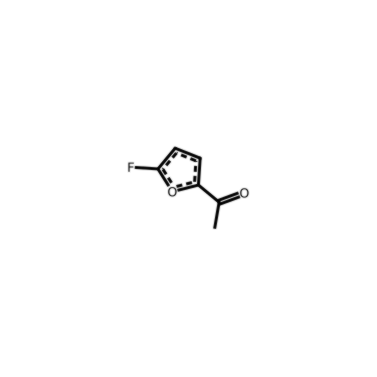 CC(=O)c1ccc(F)o1